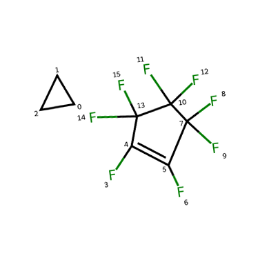 C1CC1.FC1=C(F)C(F)(F)C(F)(F)C1(F)F